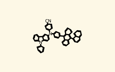 N#Cc1ccc(N(c2ccc(-c3c4ccccc4c(-c4cccc5ccccc45)c4ccccc34)cc2)c2ccc3c(c2)c2ccccc2n3-c2ccccc2)cc1